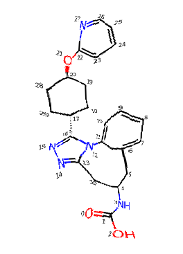 O=C(O)NC1Cc2ccccc2-n2c(nnc2[C@H]2CC[C@H](Oc3ccccn3)CC2)C1